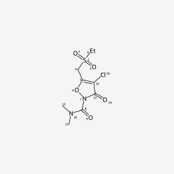 CCS(=O)(=O)Cc1on(C(=O)N(C)C)c(=O)c1Cl